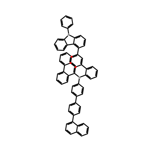 c1ccc(-n2c3ccccc3c3c(-c4cccc(-c5ccccc5N(c5ccc(-c6ccc(-c7cccc8ccccc78)cc6)cc5)c5cc6ccccc6c6ccccc56)c4)cccc32)cc1